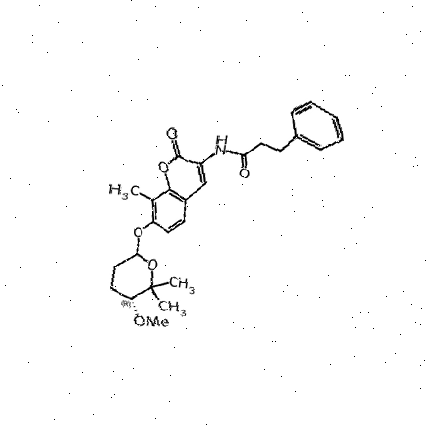 CO[C@@H]1CCC(Oc2ccc3cc(NC(=O)CCc4ccccc4)c(=O)oc3c2C)OC1(C)C